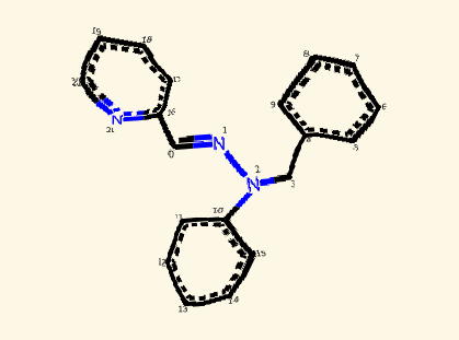 C(=NN(Cc1ccccc1)c1ccccc1)c1ccccn1